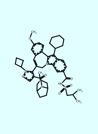 COc1ccc2c(c1)C=C(c1c(C(=O)N3C4CCC3CN(C)C4)cnn1C1CCC1)Cn1c-2c(C2CCCCC2)c2ccc(C(=O)NS(=O)(=O)CC(C)C)cc21